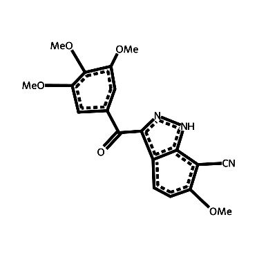 COc1cc(C(=O)c2n[nH]c3c(C#N)c(OC)ccc23)cc(OC)c1OC